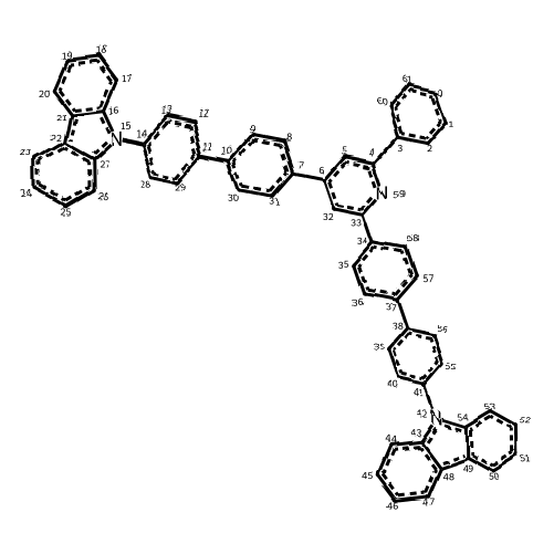 c1ccc(-c2cc(-c3ccc(-c4ccc(-n5c6ccccc6c6ccccc65)cc4)cc3)cc(-c3ccc(-c4ccc(-n5c6ccccc6c6ccccc65)cc4)cc3)n2)cc1